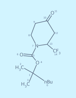 CCCCC(C)(C)OC(=O)N1CCC(=O)CC1C(F)(F)F